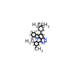 Cc1cc(C)c2c(c1)c1ncnc3cc(C4CCC(C)(C)CC4)c4c5ccccc5n2c4c31